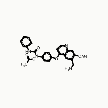 COc1cc2nccc(Oc3ccc(N(OC(=O)C(F)(F)F)C(=O)Nc4ccccc4)cc3)c2cc1CN